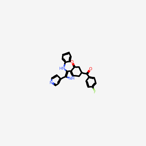 O=C1CC(C(=O)c2ccc(F)cc2)Cc2[nH]c(-c3ccncc3)c(Nc3ccccc3)c21